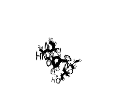 CC[C@@H]1COC(C)(CCO)CN1C(=O)c1cc(OC)c2oc(NC(C)c3cc(Cl)ccn3)nc2c1